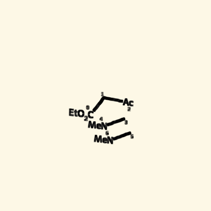 CCOC(=O)CC(C)=O.CNC.CNC